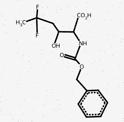 CC(F)(F)CC(O)C(NC(=O)OCc1ccccc1)C(=O)O